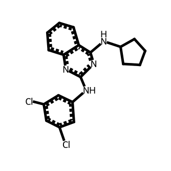 Clc1cc(Cl)cc(Nc2nc(NC3CCCC3)c3ccccc3n2)c1